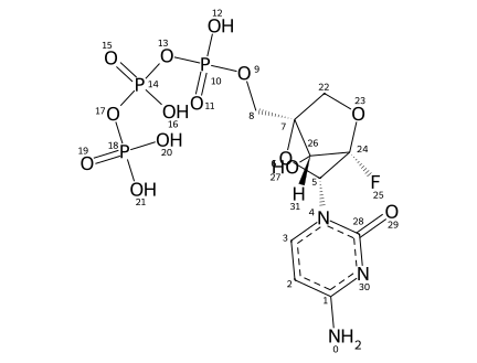 Nc1ccn([C@@H]2O[C@@]3(COP(=O)(O)OP(=O)(O)OP(=O)(O)O)CO[C@]2(F)[C@@H]3O)c(=O)n1